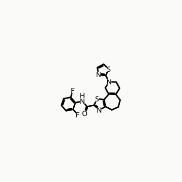 O=C(Nc1c(F)cccc1F)c1nc2c(s1)C1=C(CCC2)CCN(c2nccs2)C1